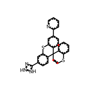 c1ccc(-c2ccc3c(c2)Sc2cc(-c4n[nH][nH]4)ccc2C32c3ccccc3Sc3ccccc32)nc1